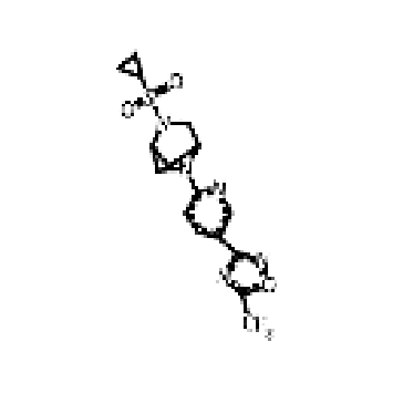 O=S(=O)(C1CC1)N1CC2CC1CN2c1ccc(-c2noc(C(F)(F)F)n2)cn1